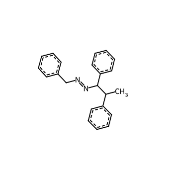 CC(c1ccccc1)C(N=NCc1ccccc1)c1ccccc1